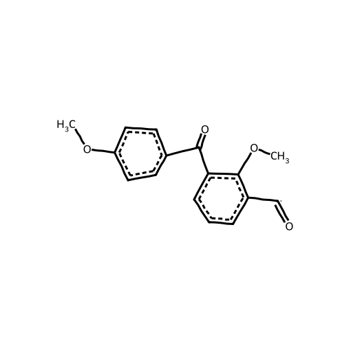 COc1ccc(C(=O)c2cccc([C]=O)c2OC)cc1